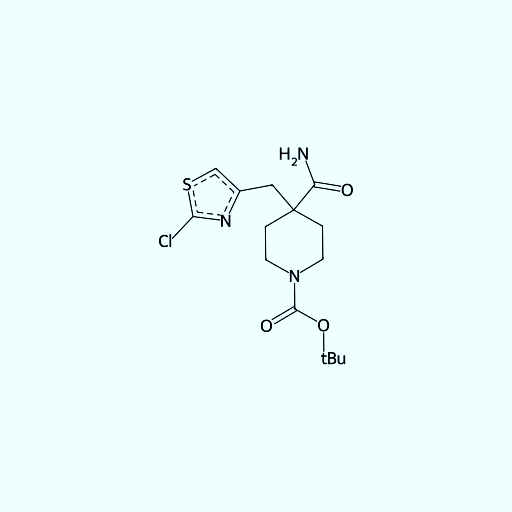 CC(C)(C)OC(=O)N1CCC(Cc2csc(Cl)n2)(C(N)=O)CC1